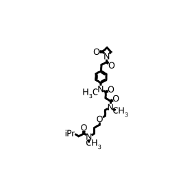 CC(C)CC(=O)N(C)CCCOCCN(C)C(=O)CC(=O)N(C)c1ccc(CC(=O)N2CCC2=O)cc1